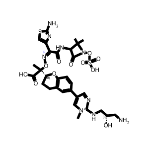 C[n+]1cc(-c2ccc3c(c2)CC[C@H](C(C)(O/N=C(\C(=O)NC2C(=O)N(OS(=O)(=O)O)C2(C)C)c2csc(N)n2)C(=O)O)O3)cnc1NC[C@@H](O)CN